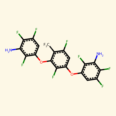 Nc1c(F)c(F)cc(Oc2cc(F)c(C(F)(F)F)c(Oc3cc(F)c(F)c(N)c3F)c2F)c1F